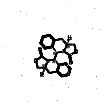 O=C1OC[C@@H]2Cc3ccccc3[C@@H]([C@@H]3c4ccccc4C[C@H]4COC(=O)N43)N12